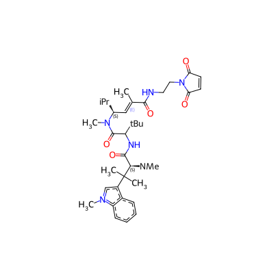 CN[C@H](C(=O)NC(C(=O)N(C)[C@H](/C=C(\C)C(=O)NCCN1C(=O)C=CC1=O)C(C)C)C(C)(C)C)C(C)(C)c1cn(C)c2ccccc12